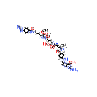 COC(=O)[C@H](CCCCNC(=O)c1ccc(N=[N+]=[N-])cc1)NC(=O)CC[C@H](NC(=O)CC[C@@H](C)NC(=O)c1ccc(NCc2cnc3nc(N)nc(O)c3n2)cc1)C(=O)O